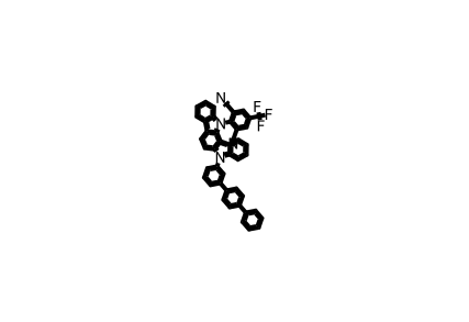 N#Cc1cc(C(F)(F)F)cc(C#N)c1-n1c2ccccc2c2ccc3c(c4ccccc4n3-c3cccc(-c4ccc(-c5ccccc5)cc4)c3)c21